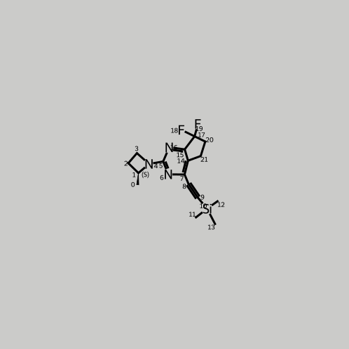 C[C@H]1CCN1c1nc(C#C[Si](C)(C)C)c2c(n1)C(F)(F)CC2